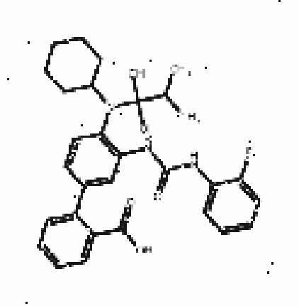 CC(C)C(O)(O)N(c1ccc(-c2ccccc2C(=O)O)cc1NC(=O)Nc1ccccc1F)C1CCCCC1